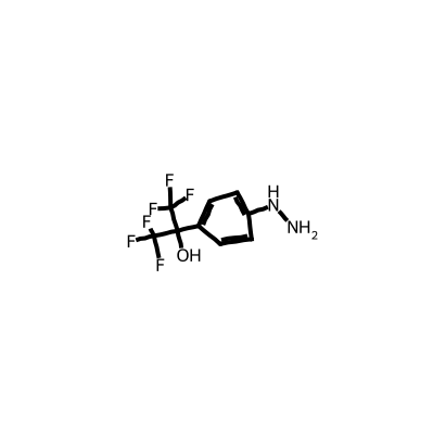 NNc1ccc(C(O)(C(F)(F)F)C(F)(F)F)cc1